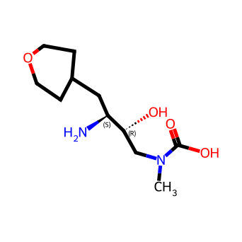 CN(C[C@@H](O)[C@@H](N)CC1CCOCC1)C(=O)O